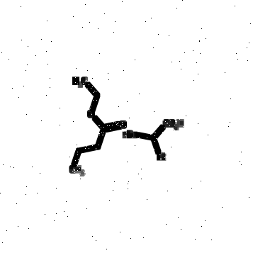 CCCC(=O)OCC.CCCCC(CC)C(=O)O